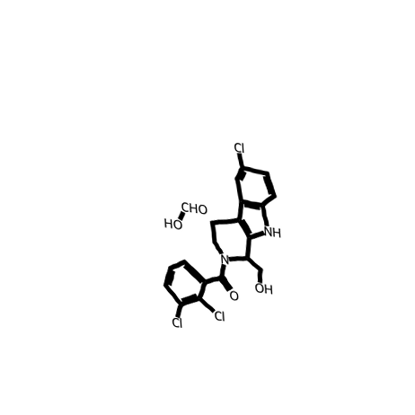 O=C(c1cccc(Cl)c1Cl)N1CCc2c([nH]c3ccc(Cl)cc23)C1CO.O=CO